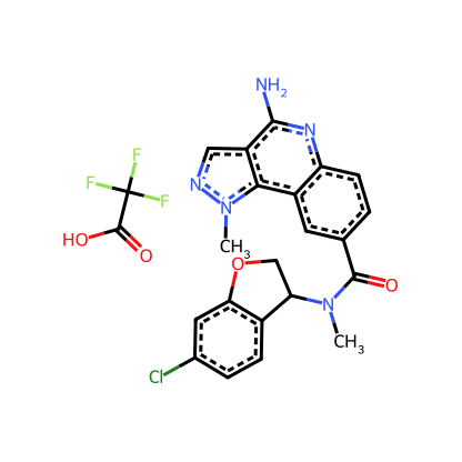 CN(C(=O)c1ccc2nc(N)c3cnn(C)c3c2c1)C1COc2cc(Cl)ccc21.O=C(O)C(F)(F)F